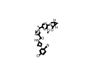 COc1nc([C@H](C)n2cc(C(=O)N[C@H]3C[C@@H](c4cc(Cl)ccc4C#N)C3)nn2)cnc1N1C[C@H]2C[C@H]2C1=O